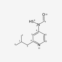 CC(C)Cc1cc(N(S)C=O)ccn1